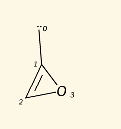 [CH]C1=CO1